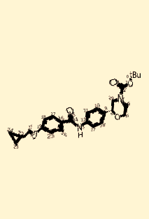 CC(C)(C)OC(=O)N1CCO[C@H](c2ccc(NC(=O)c3ccc(OCC4CC4)cc3)cc2)C1